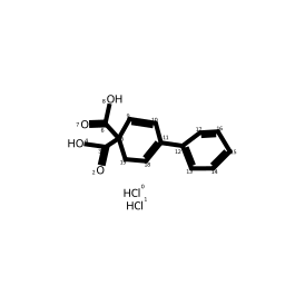 Cl.Cl.O=C(O)C1(C(=O)O)C=CC(c2ccccc2)=CC1